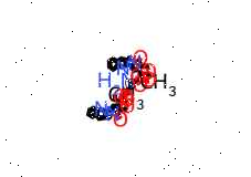 CCC1(OC(=O)CC[C@H](N)C(=O)OC2(CC)C(=O)OCc3c2cc2n(c3=O)Cc3cc4ccccc4nc3-2)C(=O)OCc2c1cc1n(c2=O)Cc2cc3ccccc3nc2-1